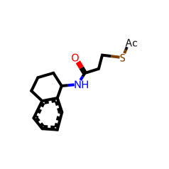 CC(=O)SCCC(=O)NC1CCCc2ccccc21